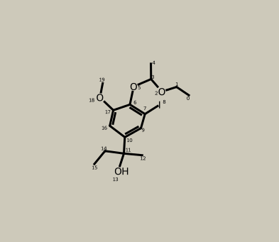 CCOC(C)Oc1c(I)cc(C(C)(O)CC)cc1OC